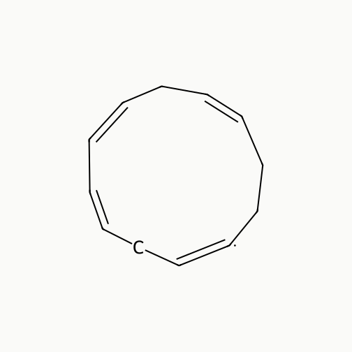 [C]1=CCC=CC=CCC=CCC1